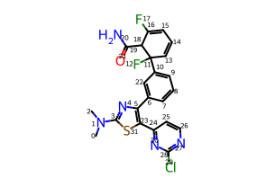 CN(C)c1nc(-c2cccc(C3(F)C=CC=C(F)C3C(N)=O)c2)c(-c2ccnc(Cl)n2)s1